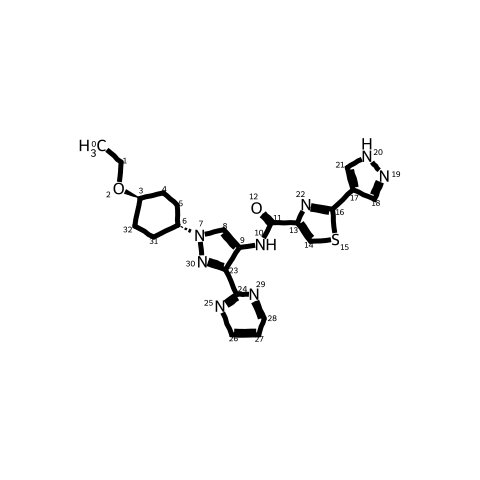 CCO[C@H]1CC[C@H](n2cc(NC(=O)c3csc(-c4cn[nH]c4)n3)c(-c3ncccn3)n2)CC1